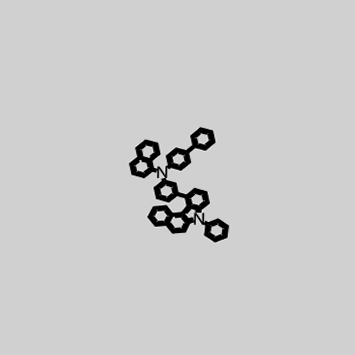 c1ccc(-c2ccc(N(c3cccc(-c4cccc5c4c4c6ccccc6ccc4n5-c4ccccc4)c3)c3cccc4ccccc34)cc2)cc1